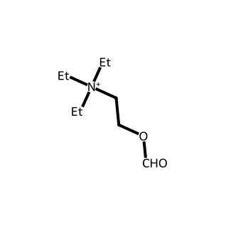 CC[N+](CC)(CC)CCOC=O